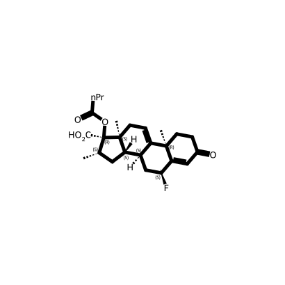 CCCC(=O)O[C@]1(C(=O)O)[C@@H](C)C[C@H]2[C@@H]3C[C@H](F)C4=CC(=O)CC[C@]4(C)C3=CC[C@@]21C